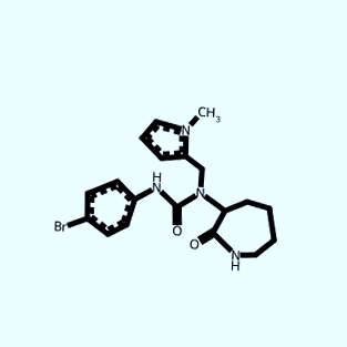 Cn1cccc1CN(C(=O)Nc1ccc(Br)cc1)C1CCCCNC1=O